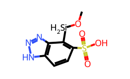 CO[SiH2]c1c(S(=O)(=O)O)ccc2[nH]nnc12